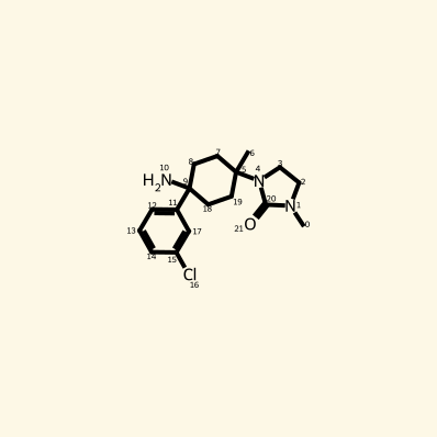 CN1CCN(C2(C)CCC(N)(c3cccc(Cl)c3)CC2)C1=O